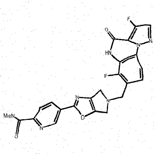 CNC(=O)c1ccc(-c2nc3c(o2)CN(Cc2ccc4c([nH]c(=O)c5c(F)cnn54)c2F)C3)cn1